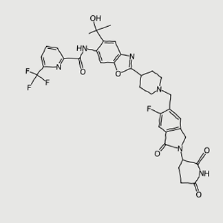 CC(C)(O)c1cc2nc(C3CCN(Cc4cc5c(cc4F)C(=O)N(C4CCC(=O)NC4=O)C5)CC3)oc2cc1NC(=O)c1cccc(C(F)(F)F)n1